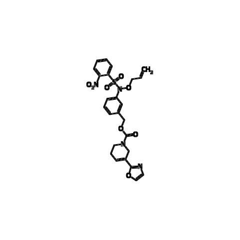 C=CCON(c1cccc(COC(=O)N2CCC=C(c3ncco3)C2)c1)S(=O)(=O)c1ccccc1[N+](=O)[O-]